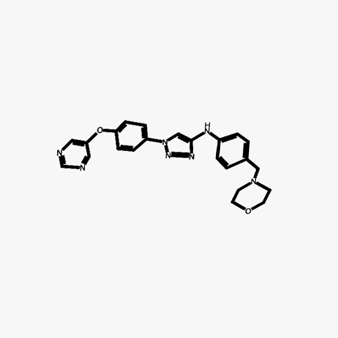 c1ncc(Oc2ccc(-n3cc(Nc4ccc(CN5CCOCC5)cc4)nn3)cc2)cn1